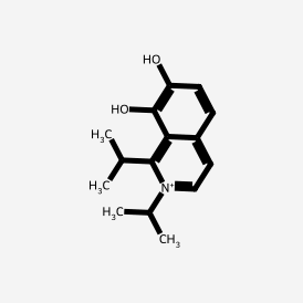 CC(C)c1c2c(O)c(O)ccc2cc[n+]1C(C)C